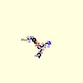 COC(=O)NC(=N)c1ccc2sc(S(=O)(=O)N3CCN(C(=O)c4nc5c(s4)CNC(C)C5)C(CC(=O)NCc4nnn[nH]4)C3)cc2c1